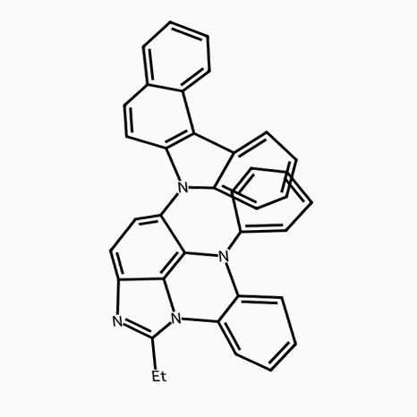 CCc1nc2ccc(-n3c4ccccc4c4c5ccccc5ccc43)c3c2n1-c1ccccc1N3c1ccccc1